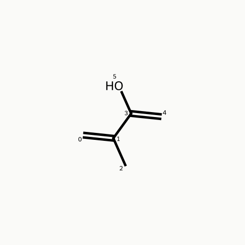 C=C(C)C(=C)O